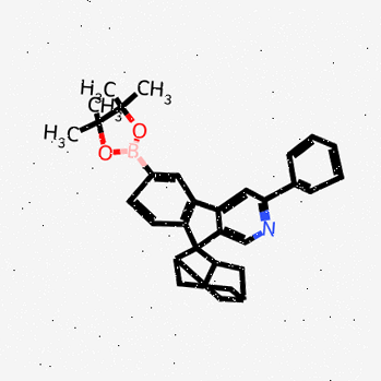 CC1(C)OB(c2ccc3c(c2)-c2cc(-c4ccccc4)ncc2C32C3CC4CC(C3)C2C4)OC1(C)C